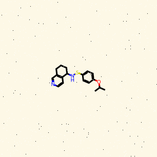 CC(C)Oc1ccc(SNC2CCCc3cnccc32)cc1